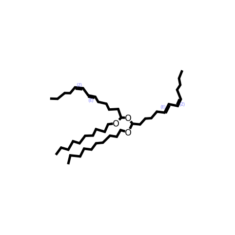 CCCC/C=C\C=C\CCCCC(OCCCCCCCCCC)OC(CCCC/C=C/C=C\CCCC)OCCCCCCCCCC